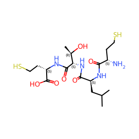 CC(C)C[C@H](NC(=O)[C@@H](N)CCS)C(=O)N[C@H](C(=O)N[C@@H](CCS)C(=O)O)[C@@H](C)O